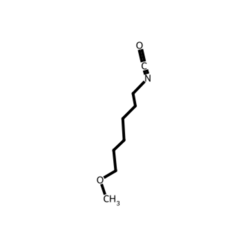 COCCCCCCN=C=O